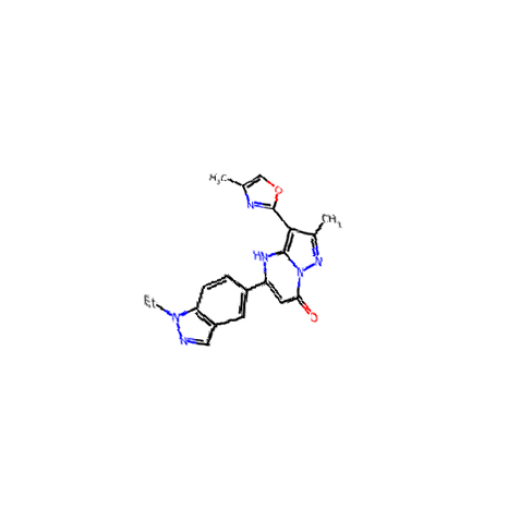 CCn1ncc2cc(-c3cc(=O)n4nc(C)c(-c5nc(C)co5)c4[nH]3)ccc21